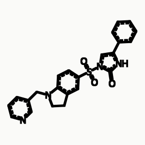 O=c1[nH]c(-c2ccccc2)cn1S(=O)(=O)c1ccc2c(c1)CCN2Cc1cccnc1